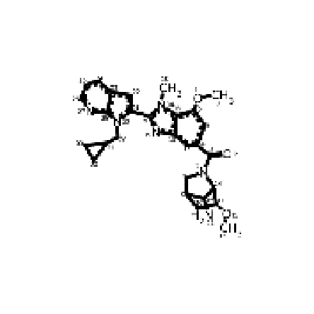 COc1cc(C(=O)N2CC3C[C@H](OC)C2C3N)cc2nc(-c3cc4cccnc4n3CC3CC3)n(C)c12